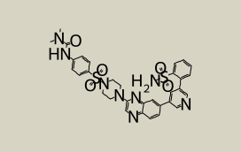 CN(C)C(=O)Nc1ccc(S(=O)(=O)N2CCN(c3cnc4ccc(-c5cncc(-c6ccccc6S(N)(=O)=O)c5)cc4n3)CC2)cc1